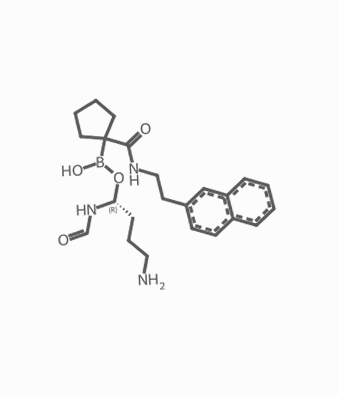 NCCC[C@H](NC=O)OB(O)C1(C(=O)NCCc2ccc3ccccc3c2)CCCC1